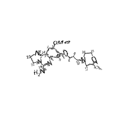 COc1cc2c(cc1OCCCN1CCOCC1)N=C(N)N1CCN=C21